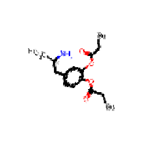 CCC(C)CC(=O)Oc1ccc(C[C@H](N)C(=O)O)cc1OC(=O)CC(C)CC